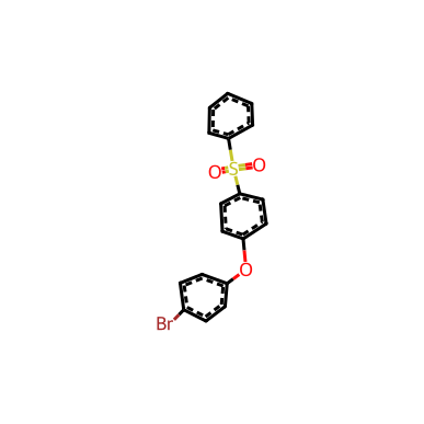 O=S(=O)(c1ccccc1)c1ccc(Oc2ccc(Br)cc2)cc1